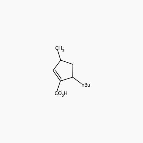 CCCCC1CC(C)C=C1C(=O)O